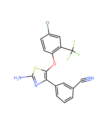 N#Cc1cccc(-c2nc(N)sc2Oc2ccc(Cl)cc2C(F)(F)F)c1